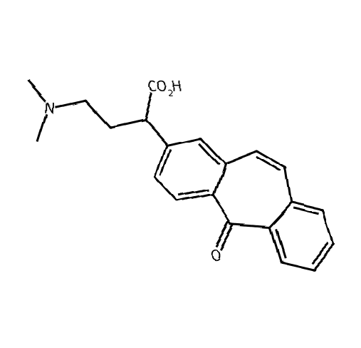 CN(C)CCC(C(=O)O)c1ccc2c(=O)c3ccccc3ccc2c1